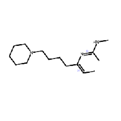 C/C=C(CCCCN1CCCCC1)\N=C(/C)NC